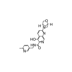 Cc1ccc(CNC(=O)c2ncc3nc(N4C[C@H]5C[C@@H]4CO5)ccc3c2O)cn1